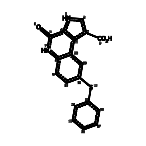 O=C(O)c1c[nH]c2c(=O)[nH]c3ccc(Sc4ccccc4)cc3c12